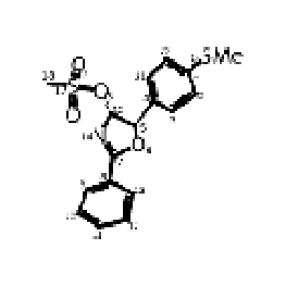 CSc1ccc([C@H]2OC(c3ccccc3)=N[C@@H]2OS(C)(=O)=O)cc1